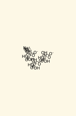 CC(O)N(CC(=O)[O-])CP(=O)(O)O.CC(O)N(CC(=O)[O-])CP(=O)(O)O.CC(O)N(CC(=O)[O-])CP(=O)(O)O.[Na+].[Na+].[Na+]